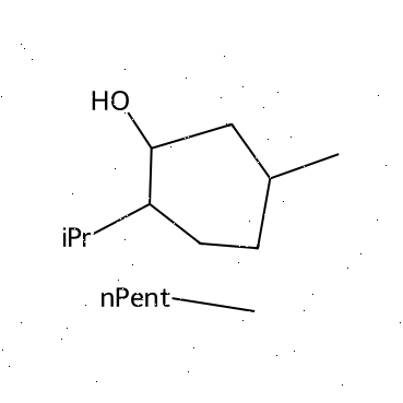 CC1CCC(C(C)C)C(O)C1.CCCCCC